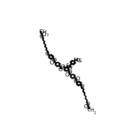 C=CC(=O)OCCCCCCCCCOc1ccc(OC(=O)C2CCC(C(=O)Oc3ccc(OC(=O)C4CCC(C(=O)Oc5ccc(OCCCCCCCCCOC(=O)C=C)cc5)CC4)c4sc(-c5ccc(N=C=S)cc5)nc34)CC2)cc1